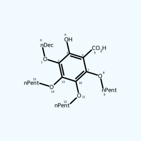 CCCCCCCCCCOc1c(O)c(C(=O)O)c(OCCCCC)c(OCCCCC)c1OCCCCC